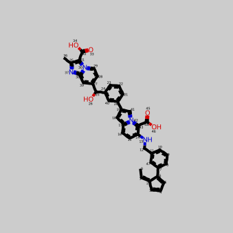 C/C=C1/C=CC=C1c1cccc(CNc2ccc3cc(-c4cccc(C(O)c5ccn6c(C(=O)O)c(C)nc6c5)c4)cn3c2C(=O)O)c1